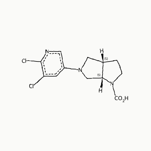 O=C(O)N1CC[C@H]2CN(c3cnc(Cl)c(Cl)c3)C[C@H]21